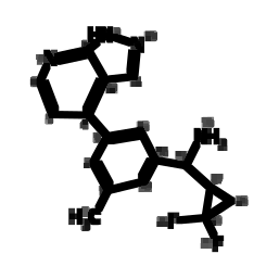 Cc1cc(-c2ccnc3[nH]ncc23)cc(C(N)C2CC2(F)F)c1